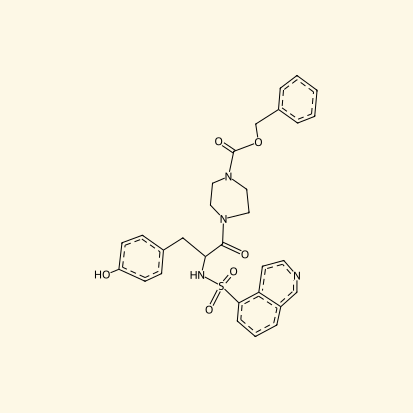 O=C(OCc1ccccc1)N1CCN(C(=O)C(Cc2ccc(O)cc2)NS(=O)(=O)c2cccc3cnccc23)CC1